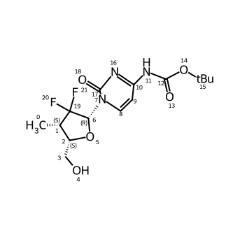 C[C@H]1[C@@H](CO)O[C@@H](n2ccc(NC(=O)OC(C)(C)C)nc2=O)C1(F)F